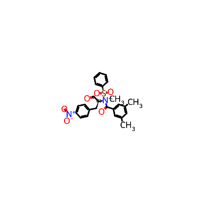 Cc1cc(C)cc(C(=O)[N+](C)([C@H]([C]=O)Cc2ccc([N+](=O)[O-])cc2)S(=O)(=O)c2ccccc2)c1